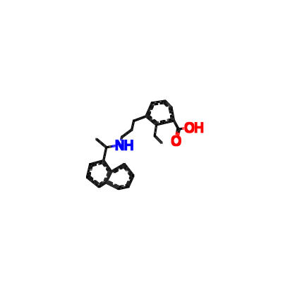 CCc1c(CCCNC(C)c2cccc3ccccc23)cccc1C(=O)O